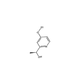 CCOc1ccnc([C@H](C)O)c1